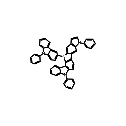 c1ccc(-n2ccc3cc4c(cc32)c2ccc3c(c5ccccc5n3-c3ccccc3)c2n4-c2ccc3c(c2)c2ccccc2n3-c2ccccc2)cc1